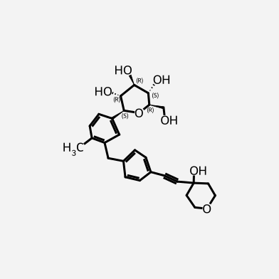 Cc1ccc([C@@H]2O[C@H](CO)[C@@H](O)[C@H](O)[C@H]2O)cc1Cc1ccc(C#CC2(O)CCOCC2)cc1